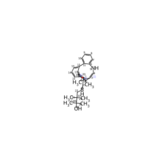 CC1(C)C2=C\Nc3ccccc3-c3cccc1c3/C=C/C(BCC(C)(C)C(C)(C)O)=C\2